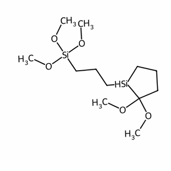 COC1(OC)CCC[SiH]1CCC[Si](OC)(OC)OC